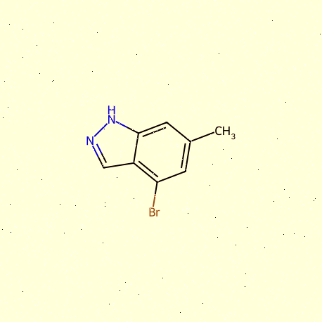 Cc1cc(Br)c2cn[nH]c2c1